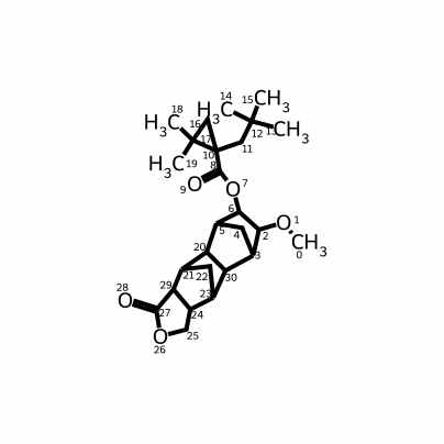 COC1C2CC(C1OC(=O)C1(CC(C)(C)C)CC1(C)C)C1C3CC(C4COC(=O)C43)C21